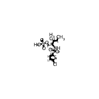 CC[C@@H](C)[C@@H](COS(=O)(=O)O)NS(=O)(=O)c1ccc(Cl)s1